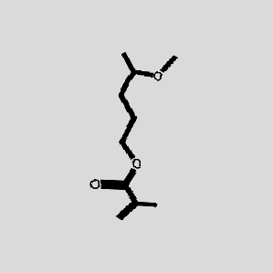 C=C(C)C(=O)OCCCC(C)OC